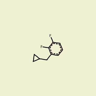 Fc1cccc([CH]C2CC2)c1F